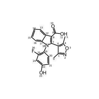 Cc1noc(C)c1-c1c(C(=O)O)c2ccccc2n1-c1ccc(O)cc1F